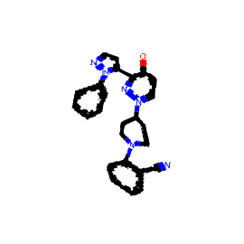 N#Cc1ccccc1N1CCC(n2ccc(=O)c(-c3ccnn3-c3ccccc3)n2)CC1